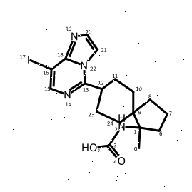 CC1(NC(=O)O)CCCC12CCC(c1ncc(I)c3nccn13)CC2